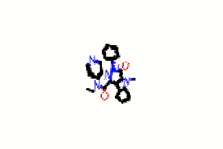 CCN(C(=O)c1nn(-c2ccccc2)c(=O)c2c1c1ccccc1n2C)c1ccncc1